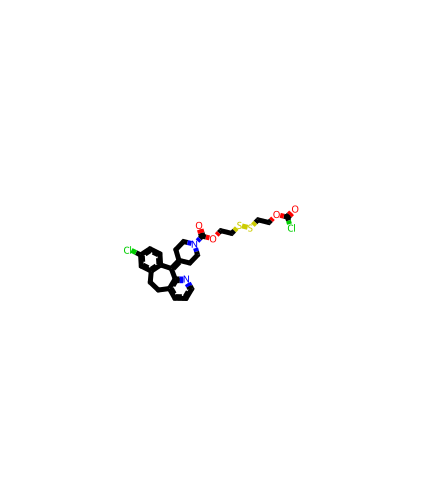 O=C(Cl)OCCSSCCOC(=O)N1CCC(=C2c3ccc(Cl)cc3CCc3cccnc32)CC1